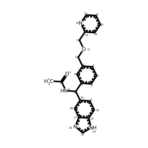 CC(=O)NC(c1cccc(COCc2ccccn2)c1)c1ccc2[nH]cnc2c1